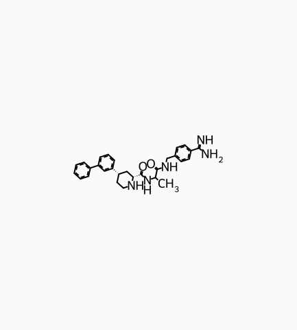 CC(NC(=O)[C@H]1C[C@@H](c2cccc(-c3ccccc3)c2)CCN1)C(=O)NCc1ccc(C(=N)N)cc1